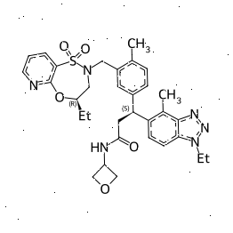 CC[C@@H]1CN(Cc2cc([C@H](CC(=O)NC3COC3)c3ccc4c(nnn4CC)c3C)ccc2C)S(=O)(=O)c2cccnc2O1